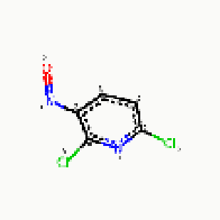 O=Nc1ccc(Cl)nc1Cl